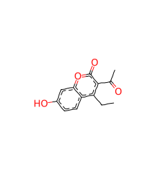 CCc1c(C(C)=O)c(=O)oc2cc(O)ccc12